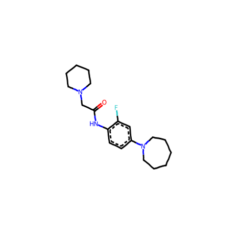 O=C(CN1CCCCC1)Nc1ccc(N2CCCCCC2)cc1F